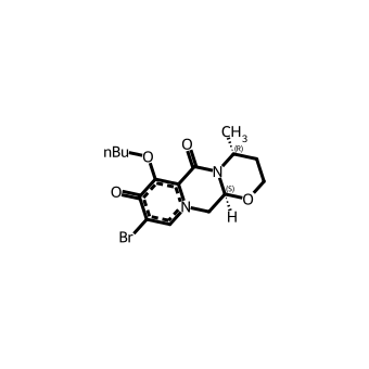 CCCCOc1c2n(cc(Br)c1=O)C[C@@H]1OCC[C@@H](C)N1C2=O